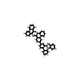 Cc1c(/N=C(\Cc2ccccc2)c2ccc(-c3ccc4c5ccccc5n5c6ccccc6nc5c4c3)cc2)c2ccccc2c2ccccc12